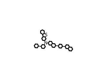 c1ccc(-c2cccc(N(c3ccc4cc(-c5ccc(-c6ccc7ccccc7c6)cc5)ccc4c3)c3ccc4c(c3)sc3ccccc34)c2)cc1